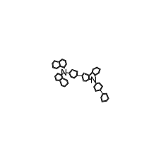 c1ccc(-c2ccc(-n3c4ccccc4c4cc(-c5ccc(N(c6cccc7ccccc67)c6cccc7ccccc67)cc5)ccc43)cc2)cc1